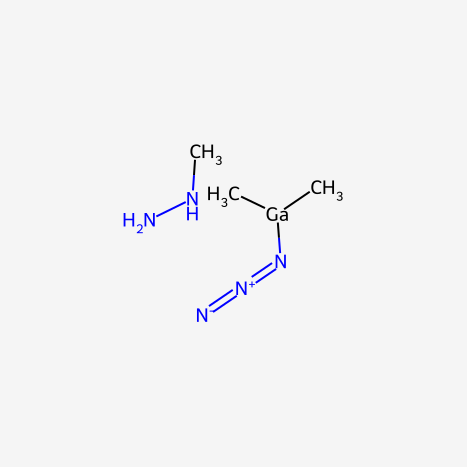 CNN.[CH3][Ga]([CH3])[N]=[N+]=[N-]